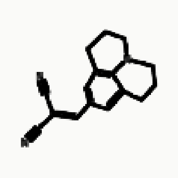 N#CC(C#N)=Cc1cc2c3c(c1)CCCN3CCC2